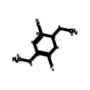 CCC1CC(F)=C(SC)C=C1F